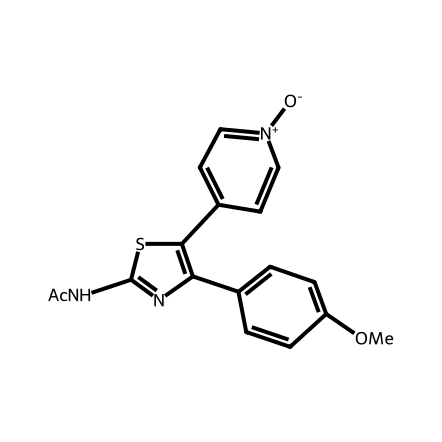 COc1ccc(-c2nc(NC(C)=O)sc2-c2cc[n+]([O-])cc2)cc1